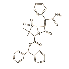 CC1(C)[C@H](C(=O)OC(c2ccccc2)c2ccccc2)N2C(=O)/C(=C(\C(N)=O)c3ccccn3)C2S1(=O)=O